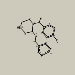 CC(c1ccc(F)cc1)N1CCNCC1OCc1ccccc1